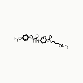 O=C(COc1ccc(C(F)(F)F)cc1)N[C@H]1CC[C@H](C(=O)NCCCOC(F)(F)F)OC1